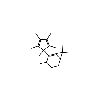 CC1=C(C)C(C)(C2=C3C(CCC2C)C3(C)C)C(C)=C1C